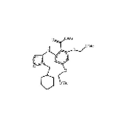 COCOc1cc(Nc2ccnn2CC2CCCCC2)c(C(=O)OC)c(OCOC)c1